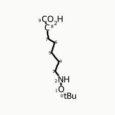 CC(C)(C)ONCCCCCCC(=O)O